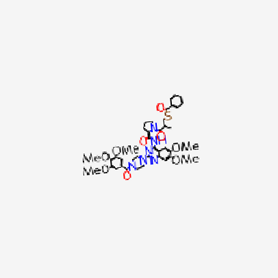 COc1cc2nc(N3CCN(C(=O)c4cc(OC)c(OC)c(OC)c4)CC3)nc(NC(=O)C3CCCN3C(=O)C(C)CSC(=O)c3ccccc3)c2cc1OC